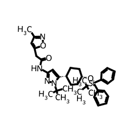 Cc1cc(CC(=O)Nc2cc([C@H]3CC[C@@H](O[Si](c4ccccc4)(c4ccccc4)C(C)(C)C)CC3)n(C(C)(C)C)n2)on1